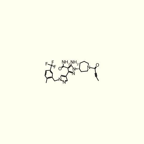 CC#CC(=O)N1CCC[C@H](n2nc(-c3cnn(Cc4cc(C(F)(F)F)ccc4C)c3)c(C(N)=O)c2N)CC1